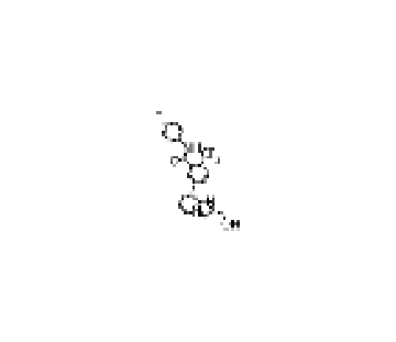 O=C(Nc1ccc(F)cc1)c1cc(-c2cccn3cc(CO)nc23)ccc1C(F)(F)F